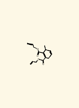 C=CCOC(=O)C1=C(C(=O)OCC=C)C(C)C=CC1